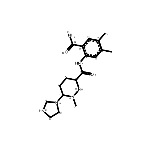 Cc1cc(NC(=O)C2CCC(N3CCNC3)N(C)N2)c(C(N)=O)cc1C